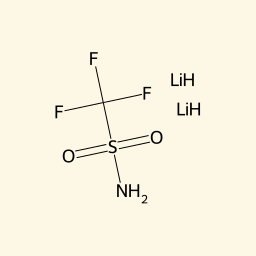 NS(=O)(=O)C(F)(F)F.[LiH].[LiH]